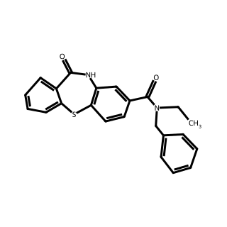 CCN(Cc1ccccc1)C(=O)c1ccc2c(c1)NC(=O)c1ccccc1S2